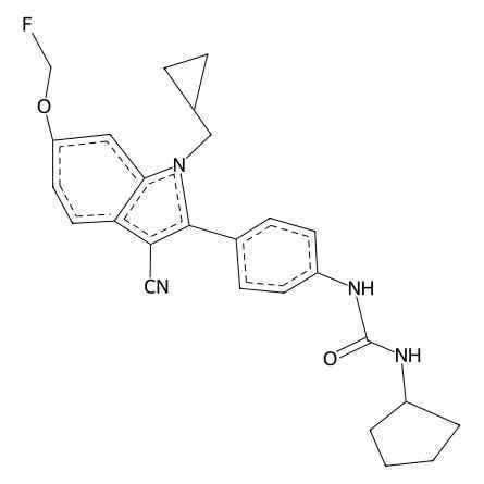 N#Cc1c(-c2ccc(NC(=O)NC3CCCC3)cc2)n(CC2CC2)c2cc(OCF)ccc12